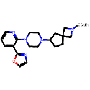 CCOC(=O)N1CC2(CCC(N3CCN(c4ncccc4-c4ncco4)CC3)C2)C1